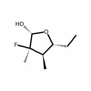 CC[C@H]1O[C@@H](O)[C@](C)(F)[C@@H]1C